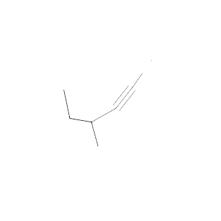 [CH2]C(C#CC)CI